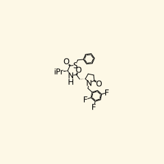 CC(C)[C@H](NC(=O)C[C@@H]1CCC(=O)N1Cc1cc(F)cc(F)c1F)C(=O)SCc1ccccc1